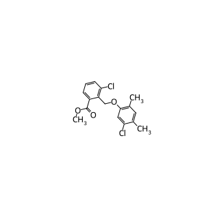 COC(=O)c1cccc(Cl)c1COc1cc(Cl)c(C)cc1C